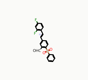 O=Cc1cc(/C=C/c2ccc(F)cc2F)ccc1S(=O)(=O)c1ccccc1